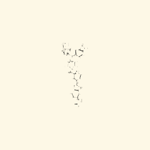 CC(=O)Nc1ccc2oc(-c3ccnc(C(=O)N4CCN(C(c5ccc6c(c5)CC6)c5nnn(C)n5)CC4)c3)nc2c1